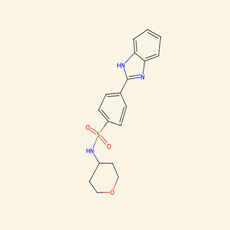 O=S(=O)(NC1CCOCC1)c1ccc(-c2nc3ccccc3[nH]2)cc1